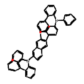 c1ccc(-c2ccccc2N(c2ccccc2)c2ccc3cc4c(cc3c2)sc2cc(N(c3ccccc3)c3ccccc3-c3ccccc3)ccc24)cc1